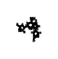 CC(N)CCc1cc(N)n2ncc(C3C=NN(C)C3)c2n1